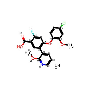 COc1cc(Cl)ccc1Oc1cc(F)c(C(=O)O)cc1-c1cccnc1OC.[LiH]